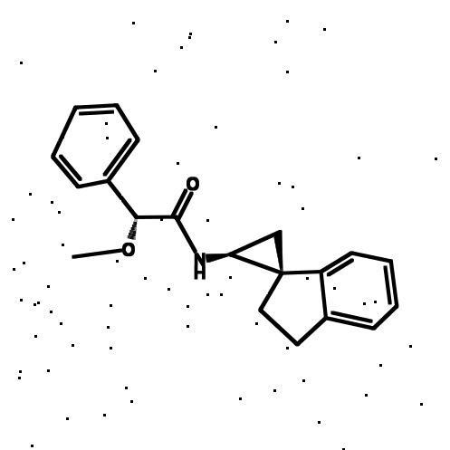 CO[C@@H](C(=O)N[C@H]1C[C@@]12CCc1ccccc12)c1ccccc1